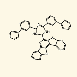 c1ccc(-c2cccc(C3=NC(c4cccc(-c5ccccc5)c4)NC(c4cc5c6ccccc6oc5c5c4sc4ccccc45)N3)c2)cc1